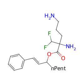 CCCCCC(/C=C/c1ccccc1)OC(=O)C(N)(CCCN)C(F)F